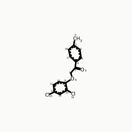 Cc1ccc(C(=O)COc2ccc(Cl)cc2Cl)cc1